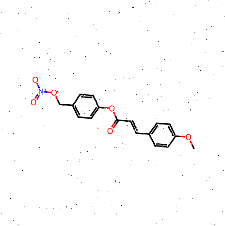 COc1ccc(C=CC(=O)Oc2ccc(CO[N+](=O)[O-])cc2)cc1